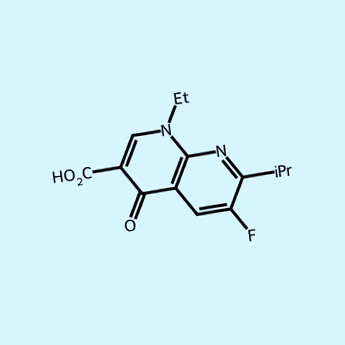 CCn1cc(C(=O)O)c(=O)c2cc(F)c(C(C)C)nc21